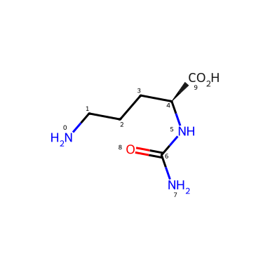 NCCC[C@H](NC(N)=O)C(=O)O